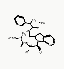 CN[C@@H](C)C(=O)N[C@H](C(=O)N1c2ncccc2CC1CNC(=O)C(C)c1ccccc1)C(C)C.Cl